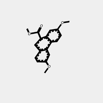 COC(=O)c1cc2ccc(OC)cc2c2ccc(OC)cc12